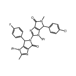 Cc1nc2c(n1C(C)C)C(c1ccc(F)cc1)N(c1nc3c(n1C(C)C)C(c1ccc(Cl)cc1)N(C)C3=O)C2=O